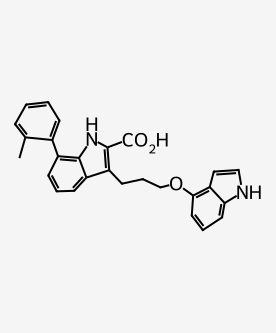 Cc1ccccc1-c1cccc2c(CCCOc3cccc4[nH]ccc34)c(C(=O)O)[nH]c12